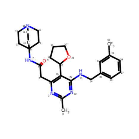 Cc1nc(CC(=O)NC23CCN(CC2)CC3)c(C2CCCO2)c(NCc2cccc(C(F)(F)F)c2)n1